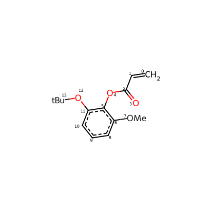 C=CC(=O)Oc1c(OC)cccc1OC(C)(C)C